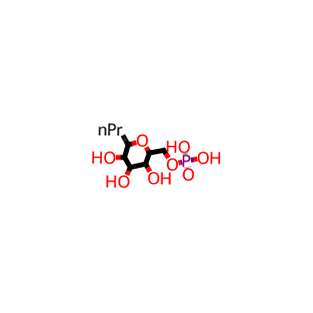 CCCC1OC(COP(=O)(O)O)C(O)C(O)C1O